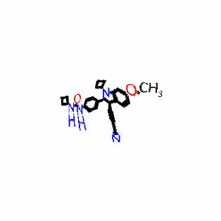 CCOc1ccc2c(c1)N(C1CCC1)C(c1ccc(NC(=O)NC3CCC3)cc1)C2C#CC#N